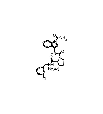 [N-]=[N+]=N[C@H]1CCN(C(=O)Nc2cn(C(N)=O)c3ccccc23)[C@@H]1C(=O)NCc1cccc(Cl)c1